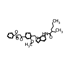 CCCCC(CC)C(=O)Nc1ccc2ccn(Cc3ccc(C(=O)CS(=O)(=O)c4ccccc4)cc3OC)c2c1